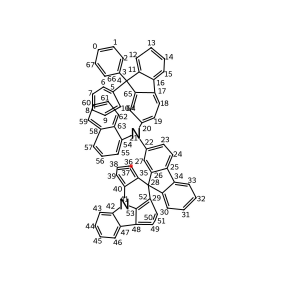 c1ccc(C2(c3ccccc3)c3ccccc3-c3ccc(N(c4ccc5c(c4)C4(c6ccccc6-5)c5ccccc5-n5c6ccccc6c6cccc4c65)c4cccc5ccccc45)cc32)cc1